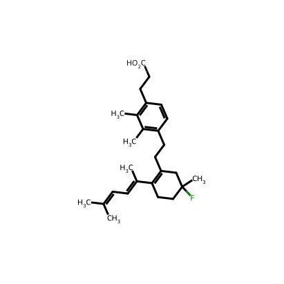 CC(C)=C/C=C(\C)C1=C(CCc2ccc(CCC(=O)O)c(C)c2C)CC(C)(F)CC1